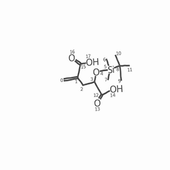 C=C(CC(O[Si](C)(C)C(C)(C)C)C(=O)O)C(=O)O